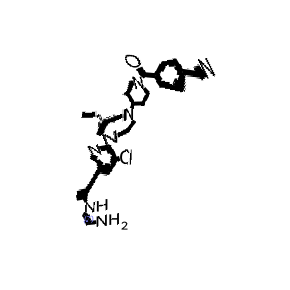 C=C(N/C=C\N)c1cnc(N2CCN(C3CCN(C(=O)c4ccc(C#N)cc4)CC3)[C@@H](CC)C2)c(Cl)c1